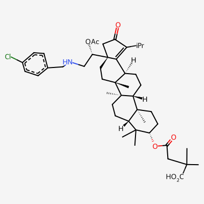 CC(=O)O[C@@H](CNCc1ccc(Cl)cc1)[C@@]12CC[C@]3(C)[C@H](CC[C@@H]4[C@@]5(C)CC[C@H](OC(=O)CC(C)(C)C(=O)O)C(C)(C)[C@@H]5CC[C@]43C)C1=C(C(C)C)C(=O)C2